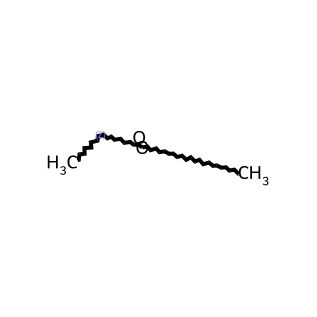 CCCCCCCC/C=C\CCCCCCCC(=O)OCCCCCCCCCCCCCCCCCCCCCCC